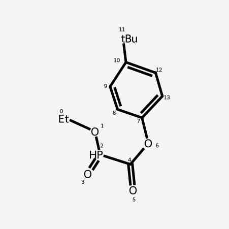 CCO[PH](=O)C(=O)Oc1ccc(C(C)(C)C)cc1